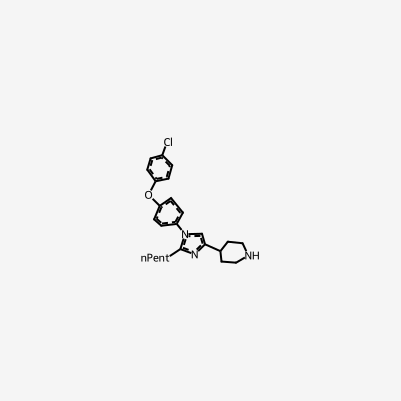 CCCCCc1nc(C2CCNCC2)cn1-c1ccc(Oc2ccc(Cl)cc2)cc1